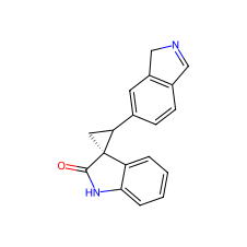 O=C1Nc2ccccc2[C@@]12CC2c1ccc2c(c1)CN=C2